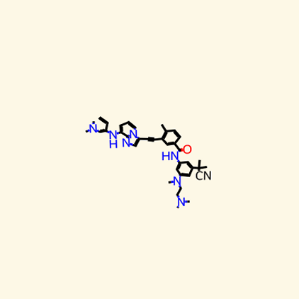 C=C/C(=C\N(C)C)Nc1cccn2c(C#Cc3cc(C(=O)Nc4cc(N(C)CCN(C)C)cc(C(C)(C)C#N)c4)ccc3C)cnc12